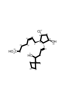 CC1(C(O)C/C=C/[C@@H]2[C@@H](C/C=C\CCCC(=O)O)[C@H](Cl)C[C@H]2O)CCC1